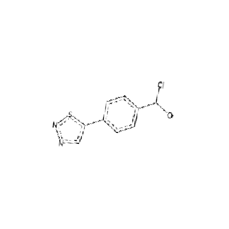 [O]C(Cl)c1ccc(-c2cnns2)cc1